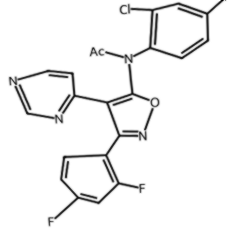 CC(=O)N(c1ccc(F)cc1Cl)c1onc(-c2ccc(F)cc2F)c1-c1ccncn1